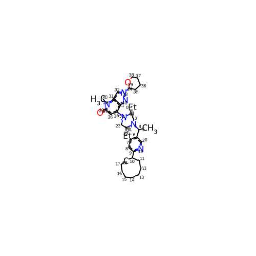 CC[C@H]1CN(C(C)c2ccc(C3CCCCCCCC3)nc2)[C@H](CC)CN1c1cc(=O)n(C)c2cn(C3CCCCO3)nc12